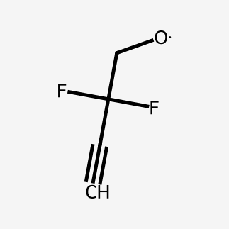 C#CC(F)(F)C[O]